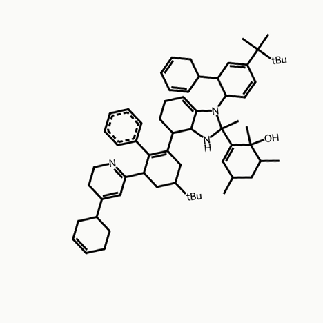 CC1C=C(C2(C)NC3C(=CCCC3C3=C(c4ccccc4)C(C4=NCCC(C5CC=CCC5)=C4)CC(C(C)(C)C)C3)N2C2C=CC(C(C)(C)C(C)(C)C)=CC2C2C=CC=CC2)C(C)(O)C(C)C1